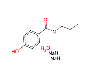 CCCOC(=O)c1ccc(O)cc1.O.[NaH].[NaH]